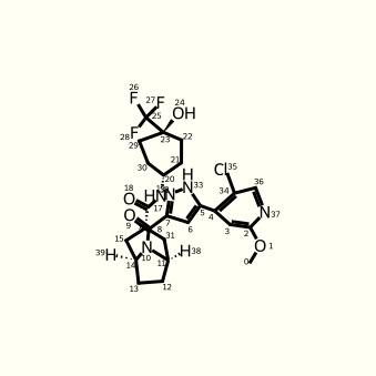 COc1cc(-c2cc(C(=O)N3[C@@H]4CC[C@H]3C[C@H](C(=O)N[C@H]3CC[C@@](O)(C(F)(F)F)CC3)C4)n[nH]2)c(Cl)cn1